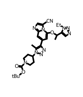 CCn1nncc1C(C)Oc1cc(-c2nnn(C3CCN(C(=O)OC(C)(C)C)CC3)c2C)cc2ncc(C#N)n12